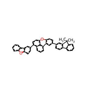 CC1(C)c2ccccc2-c2ccc(-c3ccc4c(c3)-c3cccc5c(-c6ccc7oc8ccccc8c7c6)ccc(c35)O4)cc21